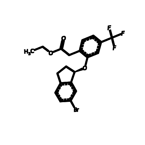 CCOC(=O)Cc1ccc(C(F)(F)F)cc1O[C@@H]1CCc2ccc(Br)cc21